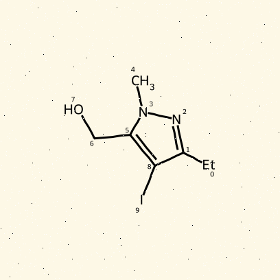 CCc1nn(C)c(CO)c1I